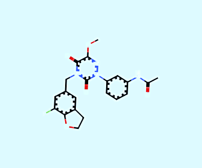 COc1nn(-c2cccc(NC(C)=O)c2)c(=O)n(Cc2cc(F)c3c(c2)CCO3)c1=O